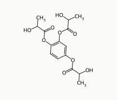 CC(O)C(=O)Oc1ccc(OC(=O)C(C)O)c(OC(=O)C(C)O)c1